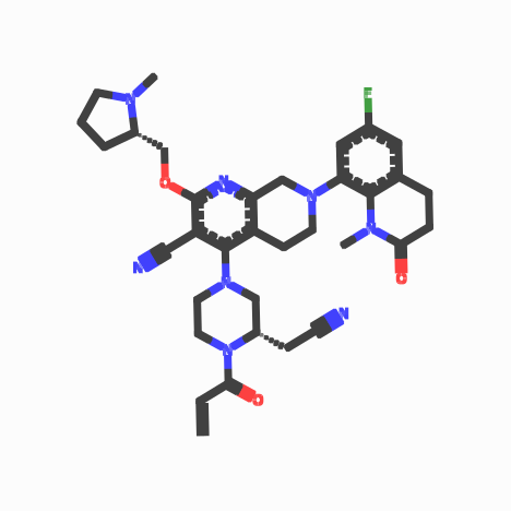 C=CC(=O)N1CCN(c2c(C#N)c(OC[C@@H]3CCCN3C)nc3c2CCN(c2cc(F)cc4c2N(C)C(=O)CC4)C3)C[C@@H]1CC#N